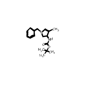 CC1CN(Cc2ccccc2)CC1NC(=O)OC(C)(C)C